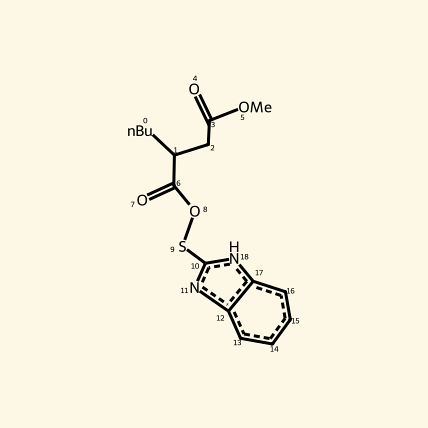 CCCCC(CC(=O)OC)C(=O)OSc1nc2ccccc2[nH]1